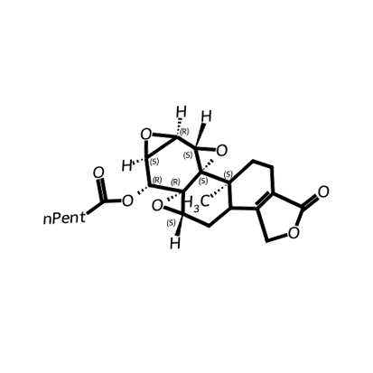 CCCCCC(=O)O[C@@H]1[C@H]2O[C@H]2[C@@H]2O[C@]23[C@]12O[C@H]2CC1C2=C(CC[C@@]13C)C(=O)OC2